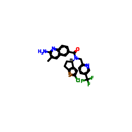 Cc1cc2cc(C(=O)N(Cc3ccc(C(F)(F)F)cn3)[C@H]3CCc4sc(Cl)cc43)ccc2nc1N